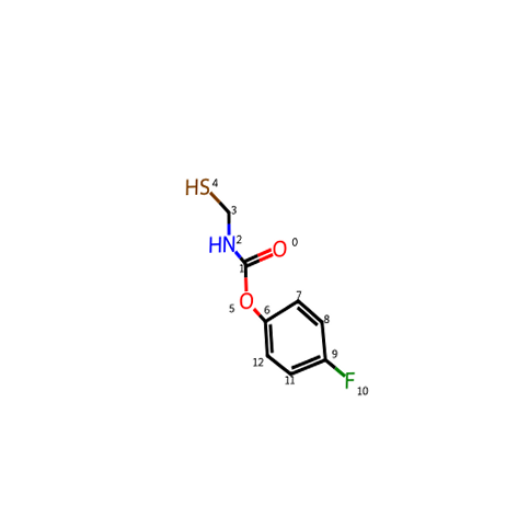 O=C(NCS)Oc1ccc(F)cc1